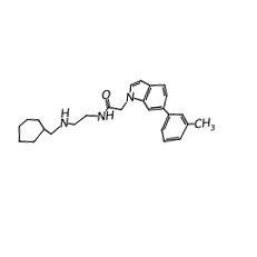 Cc1cccc(-c2ccc3ccn(CC(=O)NCCNCC4CCCCC4)c3c2)c1